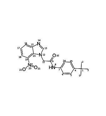 CC(C)(C)c1ccc(NC(=O)Cn2cnc3cccc([N+](=O)[O-])c32)cc1